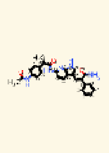 CC(=O)Nc1ccc(C(C)C(=O)Nc2ccc3c(C=C(C(N)=O)c4ccccc4)c[nH]c3n2)cc1